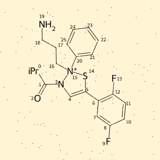 CC(C)C(=O)N1C=C(c2cc(F)ccc2F)S[N+]1(CCCN)c1ccccc1